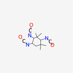 CC1(C)CC(N=C=O)C(N=C=O)C(C)(C)C1N=C=O